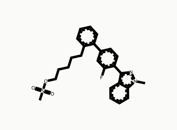 Cn1nc(-c2ccc(-c3ccccc3CCCCCOS(C)(=O)=O)cc2F)c2ccccc21